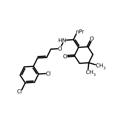 CCCC(NOCC=Cc1ccc(Cl)cc1Cl)=C1C(=O)CC(C)(C)CC1=O